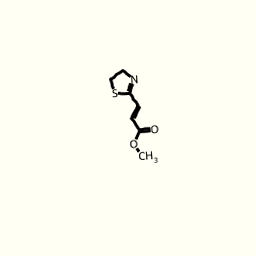 COC(=O)C=CC1=NCCS1